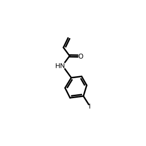 C=CC(=O)Nc1ccc(I)cc1